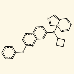 C1=C[N+]2(N(c3ccc4ccc(Oc5ccccc5)nc4c3)C3CCC3)C=NC=C2C=N1